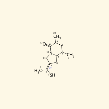 C/C(S)=C1/CC2C(C)CC(C)C(=O)N2C1